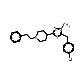 Cn1nc(C2CCN(CCc3ccccc3)CC2)nc1Cc1ccc(Cl)cc1